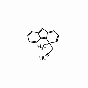 C#CCC1(C)C=CC=C2C=c3ccccc3=C21